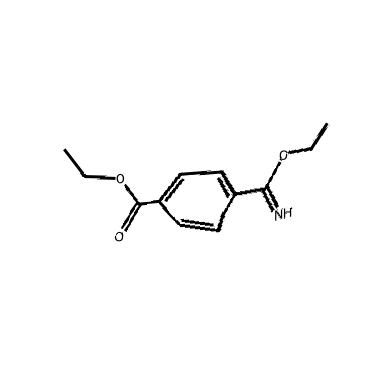 CCOC(=N)c1ccc(C(=O)OCC)cc1